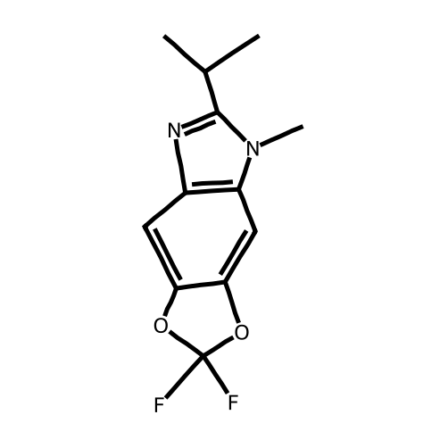 CC(C)c1nc2cc3c(cc2n1C)OC(F)(F)O3